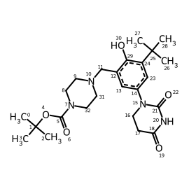 CC(C)(C)OC(=O)N1CCN(Cc2cc(N3CCC(=O)NC3=O)cc(C(C)(C)C)c2O)CC1